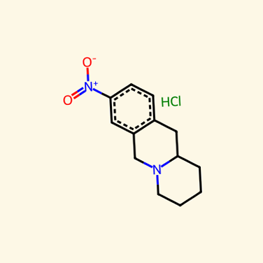 Cl.O=[N+]([O-])c1ccc2c(c1)CN1CCCCC1C2